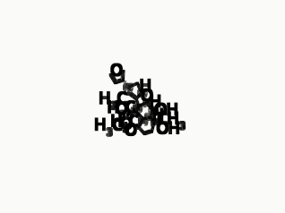 COC(=O)[C@H]1[C@]2(C)C3=C(C)[C@H](c4ccoc4)C[C@@H]3O[C@@H]2[C@H](O)[C@@H]2[C@@]1(C)C(=O)C=C[C@@]2(C)O